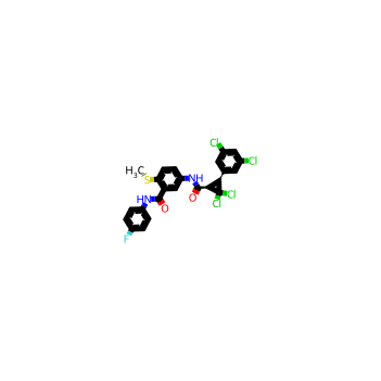 CSc1ccc(NC(=O)[C@H]2[C@H](c3cc(Cl)cc(Cl)c3)C2(Cl)Cl)cc1C(=O)Nc1ccc(F)cc1